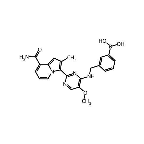 COc1cnc(-c2c(C)cc3c(C(N)=O)cccn23)nc1NCc1cccc(B(O)O)c1